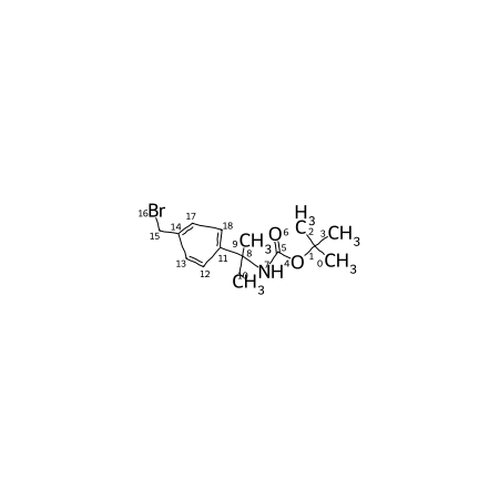 CC(C)(C)OC(=O)NC(C)(C)c1ccc(CBr)cc1